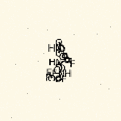 CC1NC(c2cc(F)cc3c2OC([C@H]2CCC(=O)NC2=O)C3)C1OC(=O)Nc1cc(OC(F)(F)F)ccc1F